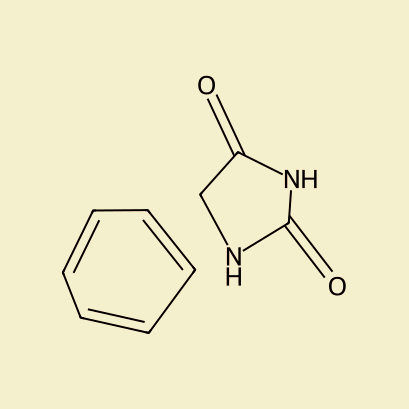 O=C1CNC(=O)N1.c1ccccc1